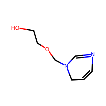 OCCOCN1C=NC=CC1